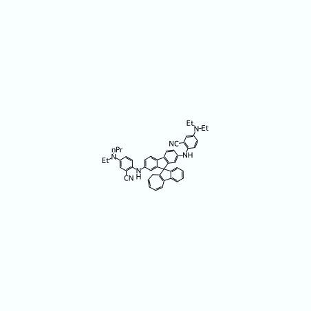 CCCN(CC)c1ccc(Nc2ccc3c(c2)C2(C4=C(C=CC=CC4)c4ccccc42)c2cc(Nc4ccc(N(CC)CC)cc4C#N)ccc2-3)c(C#N)c1